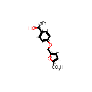 CCCC(O)c1ccc(OCc2ccc(C(=O)O)o2)cc1